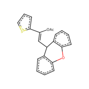 CC(=O)OC(=CC1c2ccccc2Oc2ccccc21)c1cccs1